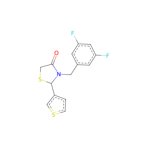 O=C1CSC(c2ccsc2)N1Cc1cc(F)cc(F)c1